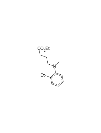 CCOC(=O)CCCN(C)c1ccccc1CC